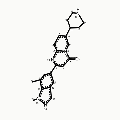 Cc1cc(-c2cc(=O)n3cc(C4CCNCC4)ccc3n2)cc2cnn(C)c12